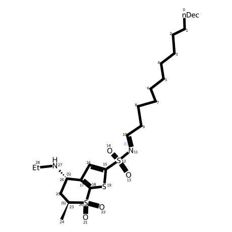 CCCCCCCCCCCCCCCCCCC/C=N/S(=O)(=O)c1cc2c(s1)S(=O)(=O)[C@@H](C)C[C@@H]2NCC